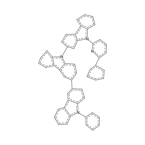 c1ccc(-c2cccc(-n3c4ccccc4c4ccc(-n5c6ccccc6c6cc(-c7ccc8c(c7)c7ccccc7n8-c7ccccc7)ccc65)cc43)n2)cc1